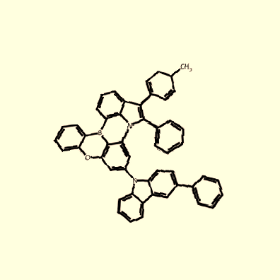 CC1C=CC(c2c(-c3ccccc3)n3c4c(cccc24)B2c4ccccc4Oc4cc(-n5c6ccccc6c6cc(-c7ccccc7)ccc65)cc-3c42)=CC1